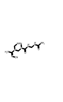 CNCN(CN(C)C(=O)NCNC(N)=O)/C(N)=N\C#N